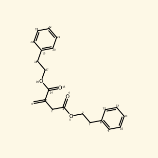 C=C(CC(=O)OCCc1ccccc1)C(=O)OCCc1ccccc1